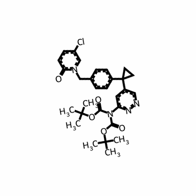 CC(C)(C)OC(=O)N(C(=O)OC(C)(C)C)c1cc(C2(c3ccc(Cn4cc(Cl)ccc4=O)cc3)CC2)cnn1